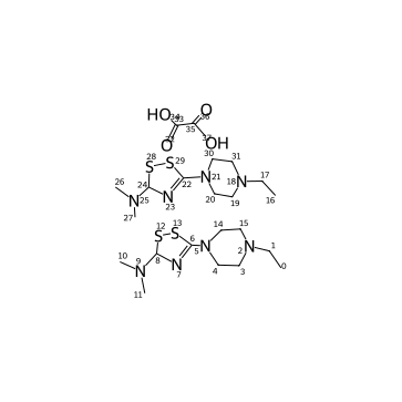 CCN1CCN(C2=NC(N(C)C)SS2)CC1.CCN1CCN(C2=NC(N(C)C)SS2)CC1.O=C(O)C(=O)O